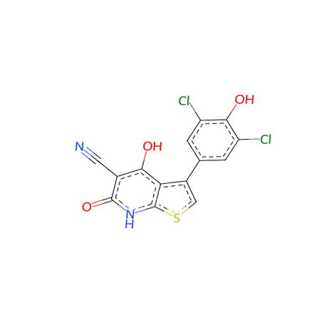 N#Cc1c(O)c2c(-c3cc(Cl)c(O)c(Cl)c3)csc2[nH]c1=O